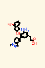 CCn1ncc2cc(-c3cc(CCC(=O)O)cc(N)c3OC3Cc4cccc(O)c4C3)ccc21